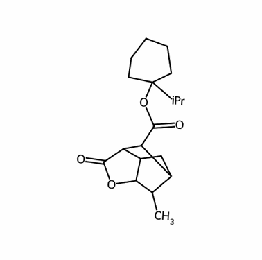 CC1C2CC3C1OC(=O)C3C2C(=O)OC1(C(C)C)CCCCC1